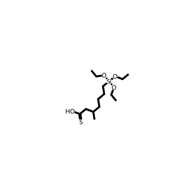 CCO[Si](CCCCC(C)CC(O)=S)(OCC)OCC